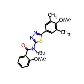 CCCCN(C(=O)c1ccccc1OC)c1nnc(-c2cc(C)c(OC)c(C)c2)s1